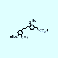 CCCCOc1cc(CCC(=O)O)ccc1CCCc1ccc(OCCCC)c(OC)c1